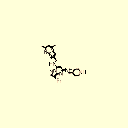 Cc1cc(C)n2cc(CNc3cc(NCC4CCNCC4)nc4c(C(C)C)cnn34)nc2n1